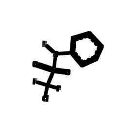 O=S(=O)(N(F)c1ccccc1)C(F)(F)Cl